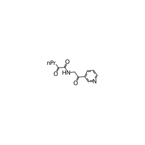 CCCC(=O)C(=O)NCC(=O)c1cccnc1